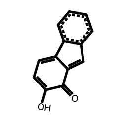 O=C1C(O)=CC=C2C1=Cc1ccccc12